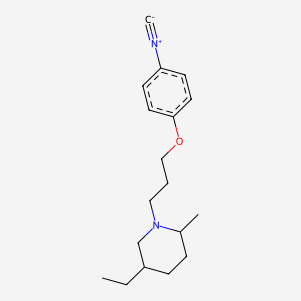 [C-]#[N+]c1ccc(OCCCN2CC(CC)CCC2C)cc1